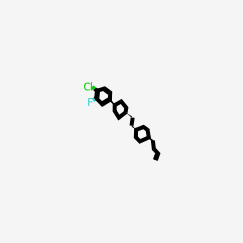 C=CCC[C@H]1CC[C@H](CC[C@H]2CC[C@H](c3ccc(Cl)c(F)c3)CC2)CC1